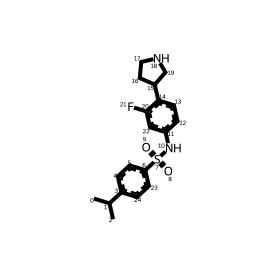 CC(C)c1ccc(S(=O)(=O)Nc2ccc(C3CCNC3)c(F)c2)cc1